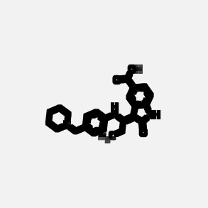 CCC(Nc1ccc(CN2CCCCC2)cc1)=C1C(=O)Nc2ccc(C(=O)O)cc21